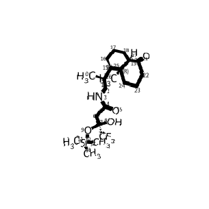 C[C@H](CNC(=O)C[C@@](O)(O[Si](C)(C)C)C(F)(F)F)[C@H]1CCC[C@H]2C(=O)CCC[C@]12C